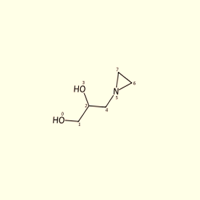 OCC(O)CN1CC1